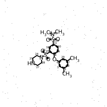 Cc1cc(C)cc(Oc2ccc(S(=O)(=O)N(C)C)cc2S(=O)(=O)N2CCNCC2)c1